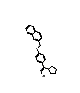 O/N=C(/c1ccc(OCc2ccc3ccccc3n2)cc1)C1CCCC1